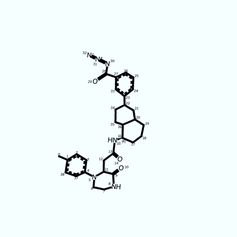 Cc1ccc(N2CCNC(=O)C2CC(=O)N[C@@H]2CCCC3CC(c4cccc(C(=O)N=[N+]=[N-])c4)CCC32)cc1